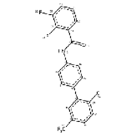 O=C(Nc1ccc(-c2cc(C(F)(F)F)ccc2Cl)cc1)c1cccc(F)c1F